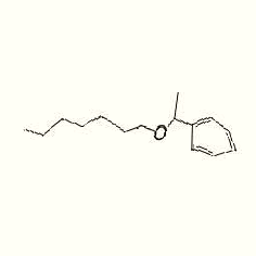 CCCCCCCOC(C)c1ccccc1